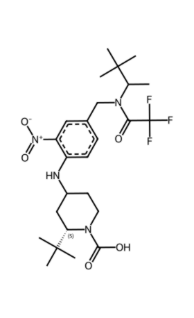 CC(N(Cc1ccc(NC2CCN(C(=O)O)[C@H](C(C)(C)C)C2)c([N+](=O)[O-])c1)C(=O)C(F)(F)F)C(C)(C)C